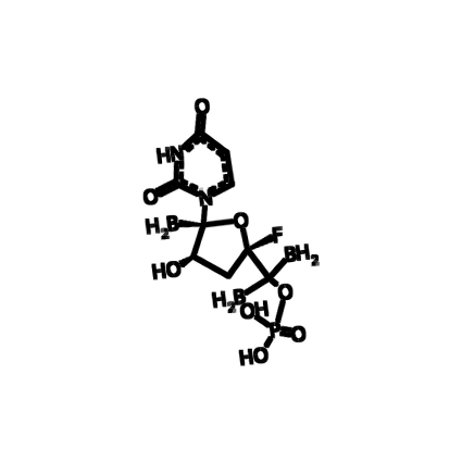 BC(B)(OP(=O)(O)O)[C@]1(F)C[C@@H](O)[C@](B)(n2ccc(=O)[nH]c2=O)O1